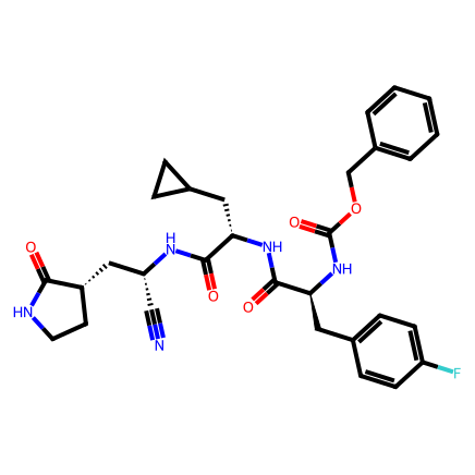 N#C[C@H](C[C@@H]1CCNC1=O)NC(=O)[C@H](CC1CC1)NC(=O)[C@H](Cc1ccc(F)cc1)NC(=O)OCc1ccccc1